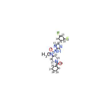 CN(C(=O)Nc1cnc(-c2cc(F)cc(F)c2)cn1)C1CCN(C(=O)c2ccccc2)CC1